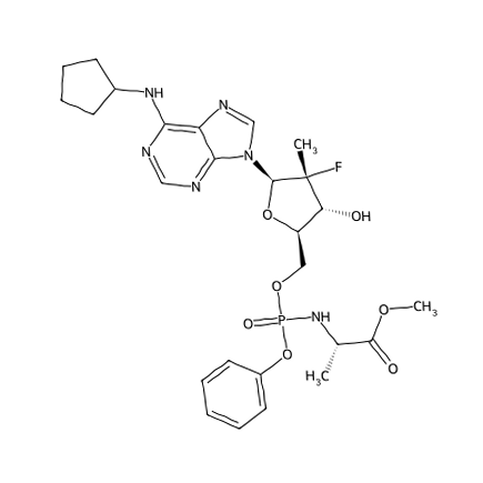 COC(=O)[C@H](C)NP(=O)(OC[C@H]1O[C@@H](n2cnc3c(NC4CCCC4)ncnc32)[C@](C)(F)[C@@H]1O)Oc1ccccc1